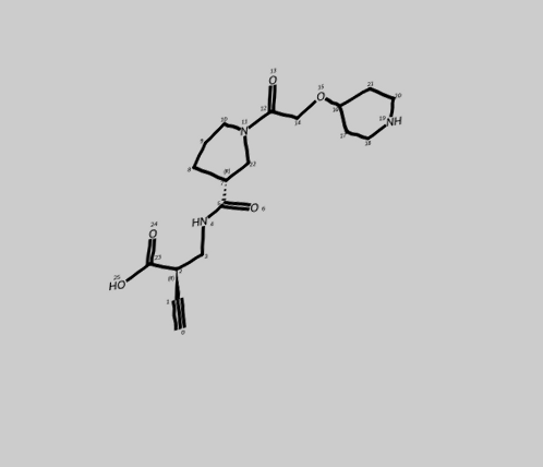 C#C[C@H](CNC(=O)[C@@H]1CCCN(C(=O)COC2CCNCC2)C1)C(=O)O